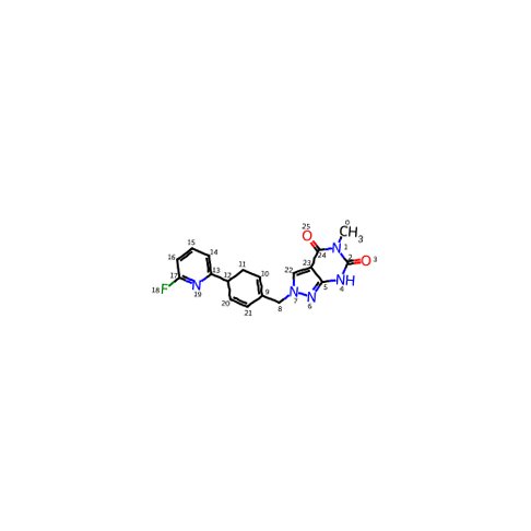 Cn1c(=O)[nH]c2nn(CC3=CCC(c4cccc(F)n4)C=C3)cc2c1=O